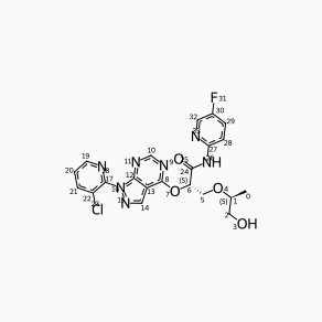 C[C@@H](CO)OC[C@H](Oc1ncnc2c1cnn2-c1ncccc1Cl)C(=O)Nc1ccc(F)cn1